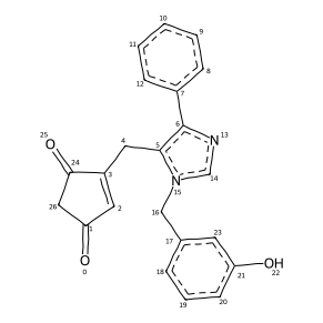 O=C1C=C(Cc2c(-c3ccccc3)ncn2Cc2cccc(O)c2)C(=O)C1